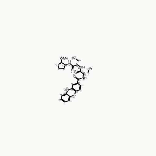 COC1OCC[C@@H]1NC(=O)[C@H](CC(C)C)NC(=O)[C@H](CC(C)C)NC(=O)c1ccc2c(c1)Nc1ccccc1S2